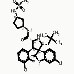 CC(C)(C)C[C@H]1N[C@@H](C(=O)N[C@H]2CC[C@@H](NS(C)(=O)=O)C2)[C@H](c2cccc(Cl)c2F)[C@@]12C(=O)Nc1cc(Cl)ccc12